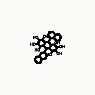 Oc1c(O)c(O)c2c(-c3cccc4ccccc34)c3c(O)c(O)c(O)c(O)c3c(-c3ccc4ccccc4c3)c2c1O